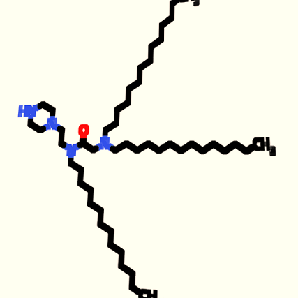 CCCCCCCCCCCCCCN(CCCCCCCCCCCCCC)CC(=O)N(CCCCCCCCCCCCCC)CCN1CCNCC1